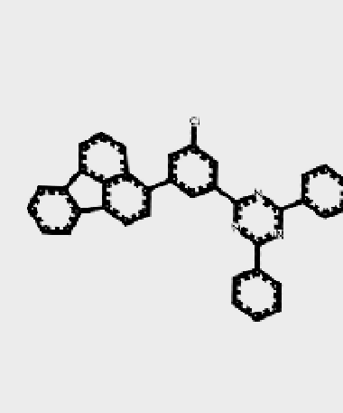 Clc1cc(-c2nc(-c3ccccc3)nc(-c3ccccc3)n2)cc(-c2ccc3c4c(cccc24)-c2ccccc2-3)c1